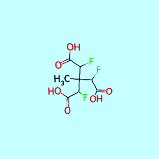 CC(C(F)C(=O)O)(C(F)C(=O)O)C(F)C(=O)O